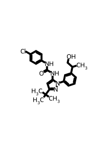 CC(CO)c1cccc(-n2nc(C(C)(C)C)cc2NC(=O)Nc2ccc(Cl)cc2)c1